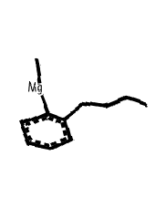 CCCCc1cccc[c]1[Mg][CH3]